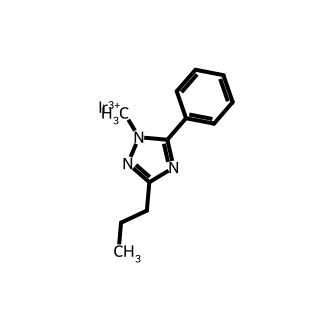 CCCc1nc(-c2ccccc2)n(C)n1.[Ir+3]